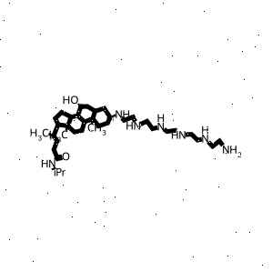 CC(C)NC(=O)CC[C@@H](C)C1CCC2C3C(CC[C@@]21C)[C@@]1(C)CC[C@H](NCCNCCNCCNCCNCCN)CC1C[C@H]3O